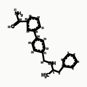 CC(Cc1ccccc1)NCc1ccc(-c2cccc(C(N)=O)c2)cc1